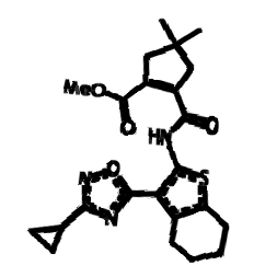 COC(=O)C1=C(C(=O)Nc2sc3c(c2-c2nc(C4CC4)no2)CCCC3)CC(C)(C)C1